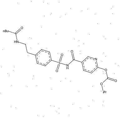 CCCCC(=O)NCCc1ccc(S(=O)(=O)NC(=O)c2ccc(OC(=O)OC(C)C)nc2)cc1